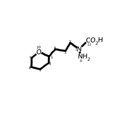 NN(CCCC1CCCCO1)C(=O)O